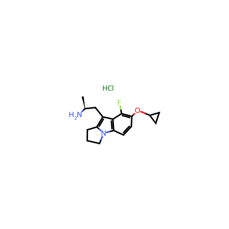 C[C@H](N)Cc1c2n(c3ccc(OC4CC4)c(F)c13)CCC2.Cl